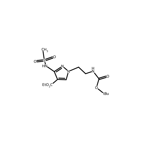 CCOC(=O)c1cn(CCNC(=O)OC(C)(C)C)nc1NS(C)(=O)=O